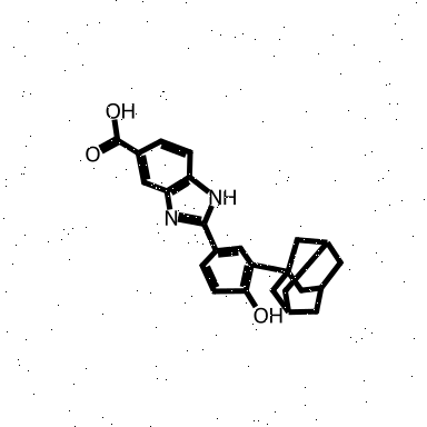 O=C(O)c1ccc2[nH]c(-c3ccc(O)c(C45CC6CC(CC(C6)C4)C5)c3)nc2c1